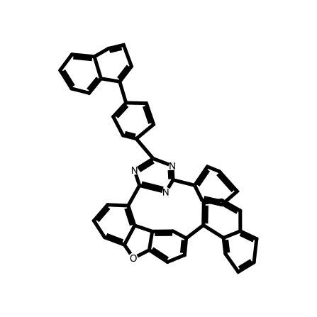 c1ccc(-c2nc(-c3ccc(-c4cccc5ccccc45)cc3)nc(-c3cccc4oc5ccc(-c6cccc7ccccc67)cc5c34)n2)cc1